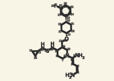 N/C=C\C=C(/N)N1CCC(NSNC2CC2)C(CO[C@H]2CC[C@@H](c3cccc(F)c3)CC2)C1